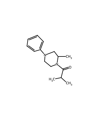 CC(C)C(=O)N1CCN(c2ccccc2)CC1C